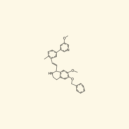 COc1cncc(-c2ccc(C)c(/C=C/C3NCCc4cc(OCc5ccccc5)c(OC)cc43)c2)c1